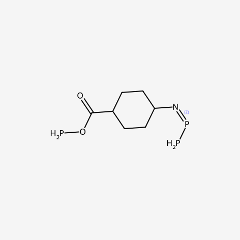 O=C(OP)C1CCC(/N=P\P)CC1